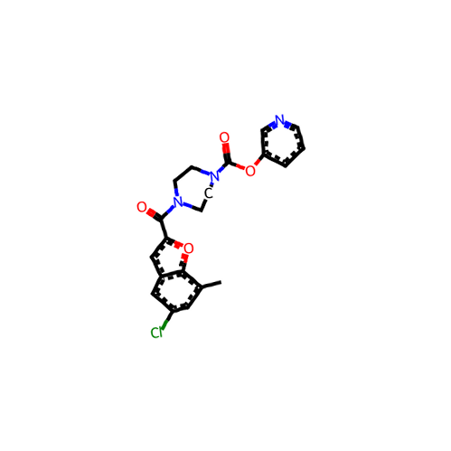 Cc1cc(Cl)cc2cc(C(=O)N3CCN(C(=O)Oc4cccnc4)CC3)oc12